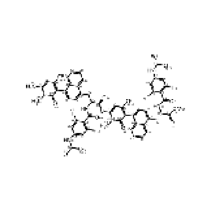 CC[C@@H](Nc1cc(F)c(C(=O)N[C@@H](Cc2ccc(-c3c(C(F)(F)F)cc(OC(=O)[C@H](Cc4ccc(-c5c(C(F)(F)F)cc(C)n(C)c5=O)c5ccccc45)NC(=O)c4c(F)cc(N[C@H](CC)C(F)(F)F)cc4F)n(C)c3=O)c3ccccc23)C(=O)OC)c(F)c1)C(F)(F)F